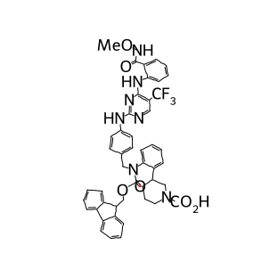 CONC(=O)c1ccccc1Nc1nc(Nc2ccc(CN(C(=O)OCC3c4ccccc4-c4ccccc43)c3ccccc3C3CCCN(C(=O)O)C3)cc2)ncc1C(F)(F)F